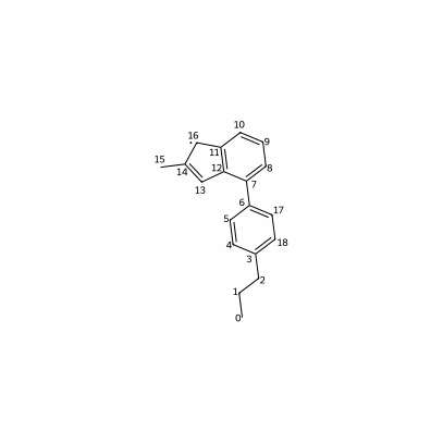 CCCc1ccc(-c2cccc3c2C=C(C)[CH]3)cc1